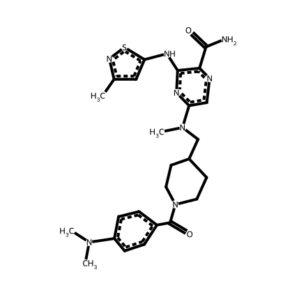 Cc1cc(Nc2nc(N(C)CC3CCN(C(=O)c4ccc(N(C)C)cc4)CC3)cnc2C(N)=O)sn1